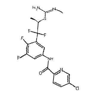 C/N=C(/N)S[C@H](C)C(F)(F)c1cc(NC(=O)c2ccc(Cl)cn2)cc(F)c1F